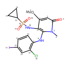 COc1cc(=O)n(C)c(Nc2ccc(I)cc2Cl)c1NS(=O)(=O)C1CC1